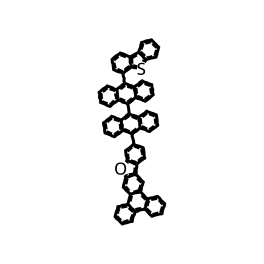 c1ccc2c(c1)sc1c(-c3c4ccccc4c(-c4c5ccccc5c(-c5ccc6c(c5)oc5cc7c8ccccc8c8ccccc8c7cc56)c5ccccc45)c4ccccc34)cccc12